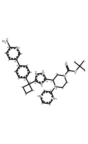 CC(C)(C)OC(=O)N1CCN(c2cnccn2)C(c2nc(C3(c4ccc(-c5ccc(N)nc5)cc4)CCC3)no2)C1